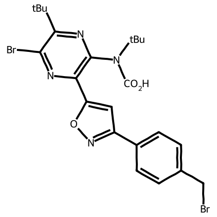 CC(C)(C)c1nc(N(C(=O)O)C(C)(C)C)c(-c2cc(-c3ccc(CBr)cc3)no2)nc1Br